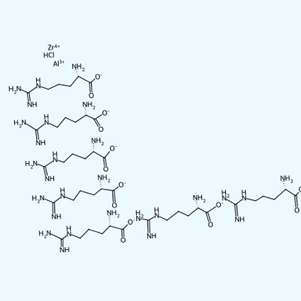 Cl.N=C(N)NCCC[C@H](N)C(=O)[O-].N=C(N)NCCC[C@H](N)C(=O)[O-].N=C(N)NCCC[C@H](N)C(=O)[O-].N=C(N)NCCC[C@H](N)C(=O)[O-].N=C(N)NCCC[C@H](N)C(=O)[O-].N=C(N)NCCC[C@H](N)C(=O)[O-].N=C(N)NCCC[C@H](N)C(=O)[O-].[Al+3].[Zr+4]